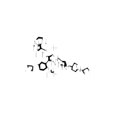 OC(Nc1cn(Cc2cn(C3CCN([C@H]4CCOC4)CC3)nn2)nc1-c1cc(SC2COC2)ccc1OC(F)F)c1cnn2cccnc12